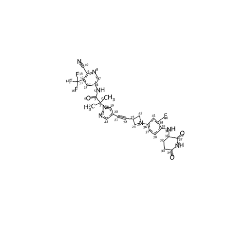 CC(C)(C(=O)Nc1cnc(C#N)c(C(F)(F)F)c1)n1cc(C#CC2CN(c3ccc(NC4CCC(=O)NC4=O)c(F)c3)C2)cn1